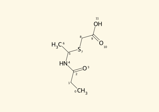 CCC(=O)NC(C)SCC(=O)O